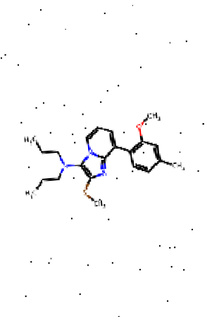 CCCN(CCC)c1c(SC)nc2c(-c3ccc(C)cc3OC)cccn12